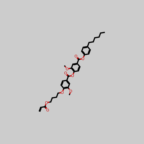 C=CC(=O)OCCCCOc1ccc(C(=O)Oc2ccc(C(=O)Oc3ccc(CCCCCC)cc3)cc2OC)cc1OC